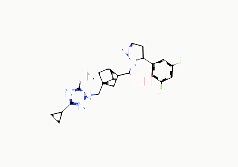 N#Cc1nc(C2CC2)nn1CC12CC(C1)C(C(O)N1N=CCC1c1cc(F)cc(F)c1)C2